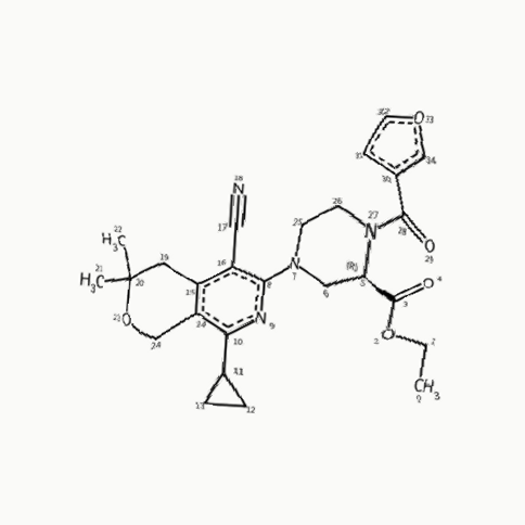 CCOC(=O)[C@H]1CN(c2nc(C3CC3)c3c(c2C#N)CC(C)(C)OC3)CCN1C(=O)c1ccoc1